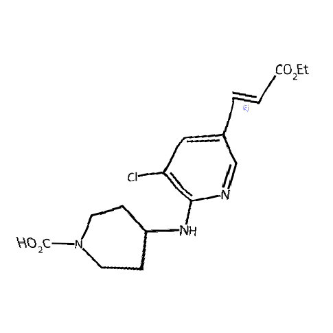 CCOC(=O)/C=C/c1cnc(NC2CCN(C(=O)O)CC2)c(Cl)c1